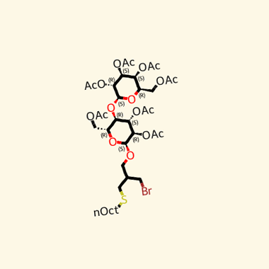 CCCCCCCCSCC(CBr)CO[C@H]1O[C@H](COC(C)=O)[C@@H](O[C@@H]2O[C@H](COC(C)=O)[C@H](OC(C)=O)[C@H](OC(C)=O)[C@H]2OC(C)=O)[C@H](OC(C)=O)[C@H]1OC(C)=O